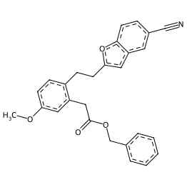 COc1ccc(CCc2cc3cc(C#N)ccc3o2)c(CC(=O)OCc2ccccc2)c1